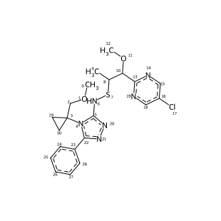 COCC1(n2c(NSC(C)C(OC)c3ncc(Cl)cn3)nnc2-c2ccccc2)CC1